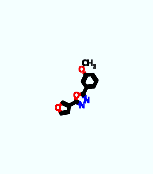 COc1cccc(-c2nnc(-c3ccoc3)o2)c1